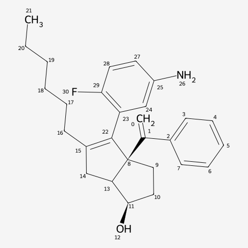 C=C(c1ccccc1)[C@@]12CC[C@@H](O)C1CC(CCCCCC)=C2c1cc(N)ccc1F